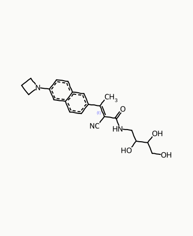 C/C(=C(/C#N)C(=O)NCC(O)C(O)CO)c1ccc2cc(N3CCC3)ccc2c1